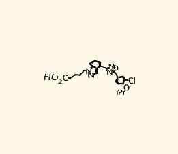 CC(C)Oc1ccc(-c2nc(-c3cccc4c3cnn4CCCCC(=O)O)no2)cc1Cl